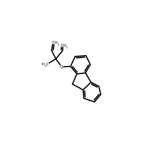 C=CC(C)(C=C)Oc1cccc2c1Cc1ccccc1-2